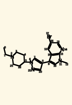 CCN1CCC(n2cc(-c3cn(C)c4ncc(Br)cc34)cn2)CC1